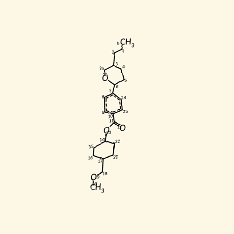 CCCC1CCC(c2ccc(C(=O)OC3CCC(COC)CC3)cc2)OC1